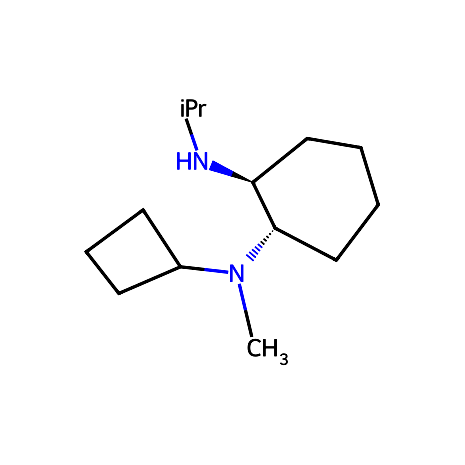 CC(C)N[C@H]1CCCC[C@@H]1N(C)C1CCC1